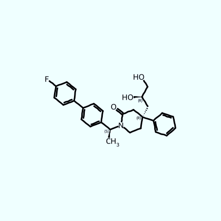 C[C@@H](c1ccc(-c2ccc(F)cc2)cc1)N1CC[C@](C[C@@H](O)CO)(c2ccccc2)CC1=O